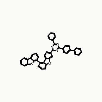 c1ccc(-c2ccc(-c3nc(-c4ccccc4)nc(-c4ccc5c(c4)oc4cccc(-c6cccc7c6sc6ccccc67)c45)n3)cc2)cc1